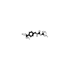 C=C(C)OC(=O)NCC1=CCC(C(=C)C)CC1